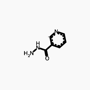 NNC(=O)c1[c]nccc1